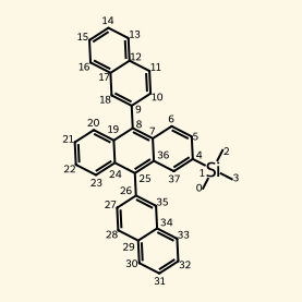 C[Si](C)(C)c1ccc2c(-c3ccc4ccccc4c3)c3ccccc3c(-c3ccc4ccccc4c3)c2c1